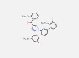 COc1cccc(Br)c1.COc1ccccc1C(=O)c1cn(-c2cccc(-c3cccc(F)c3OC)c2)cn1